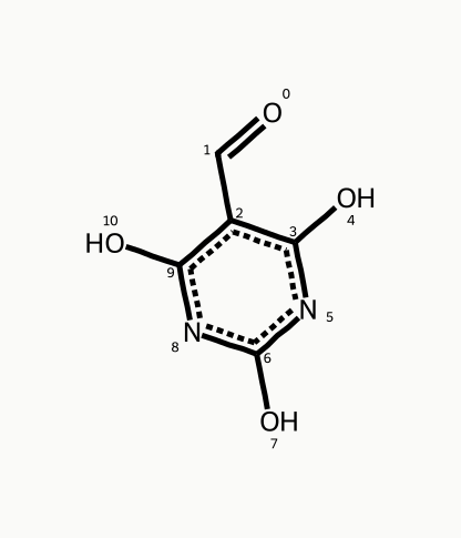 O=Cc1c(O)nc(O)nc1O